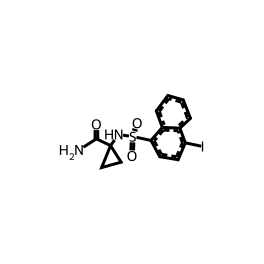 NC(=O)C1(NS(=O)(=O)c2ccc(I)c3ccccc23)CC1